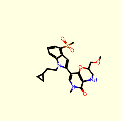 COCC1CNc2c(c(-c3cc4c(S(C)(=O)=O)cccc4n3CCC3CC3)cn(C)c2=O)O1